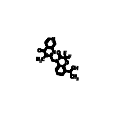 C[C@H](O)c1cccc2c1OC(F)(F)C(=O)N2Cc1nc2cnccc2c(=O)n1C